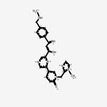 CNCc1ccc(C(=N)/C=C(\O)c2cncc(-c3ccc(=O)n(Cc4nccn4C)c3)n2)cc1